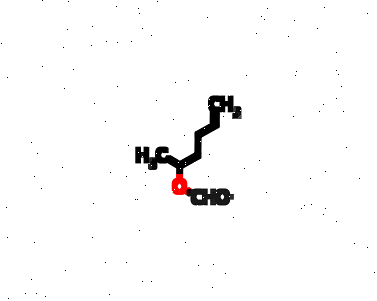 C=CCCC(C)O[C]=O